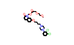 COCCOCC1OC1OCn1c(=O)ccc2ccc(OCCCCN3CCN(c4cccc(Cl)c4Cl)CC3)cc21